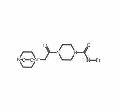 CCNC(=O)N1CCN(C(=O)C[N+]23CCN(CC2)CC3)CC1